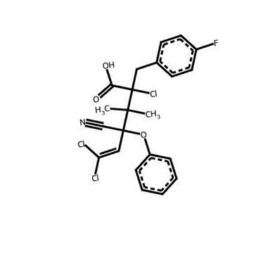 CC(C)(C(C#N)(C=C(Cl)Cl)Oc1ccccc1)C(Cl)(Cc1ccc(F)cc1)C(=O)O